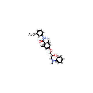 CC(=O)Oc1cccc(NC(=O)c2c(C)cc(OC[C@@H]3CN(C)c4ccccc4O3)cc2C)c1